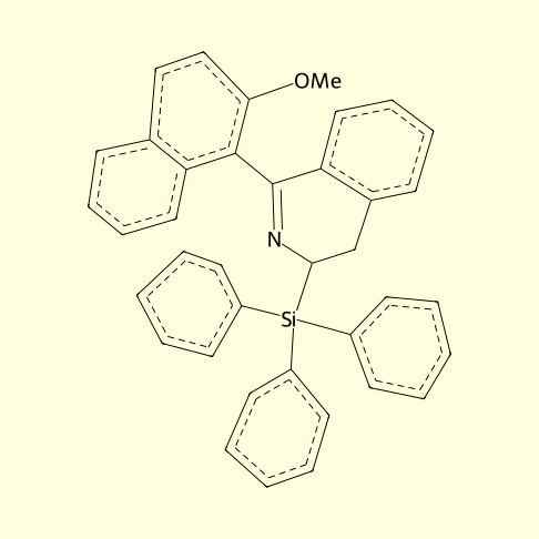 COc1ccc2ccccc2c1C1=NC([Si](c2ccccc2)(c2ccccc2)c2ccccc2)Cc2ccccc21